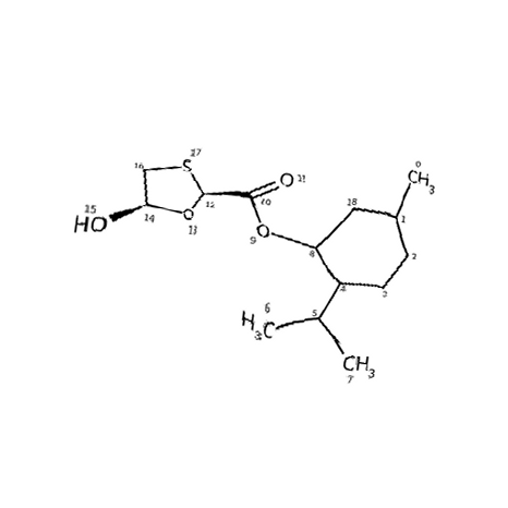 CC1CCC(C(C)C)C(OC(=O)[C@H]2O[C@@H](O)CS2)C1